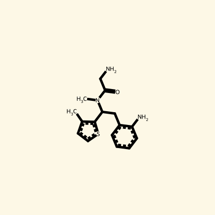 Cc1ccsc1C(Cc1ccccc1N)N(C)C(=O)CN